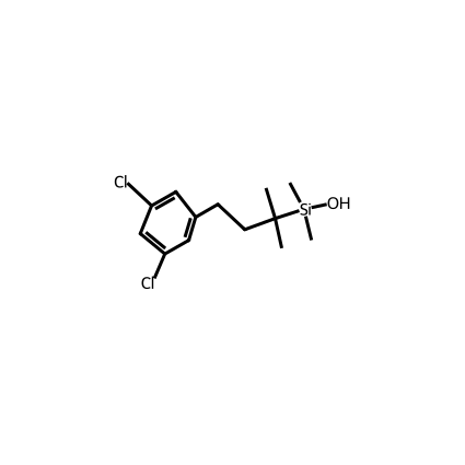 CC(C)(CCc1cc(Cl)cc(Cl)c1)[Si](C)(C)O